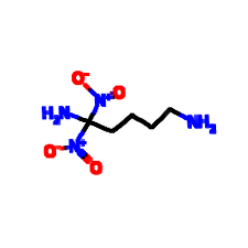 NCCCCC(N)([N+](=O)[O-])[N+](=O)[O-]